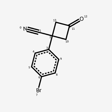 N#CC1(c2ccc(Br)cc2)CC(=O)C1